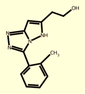 Cc1ccccc1-c1nnc2cc(CCO)[nH]n12